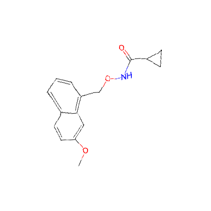 COc1ccc2cccc(CONC(=O)C3CC3)c2c1